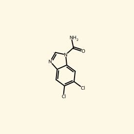 NC(=O)n1[c]nc2cc(Cl)c(Cl)cc21